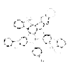 CC(C)(C)c1ccc(Nc2cc3c(cc2-c2c4c(c5c6cc7c(cc6n6c5c2Bc2cc5c(cc2-6)-c2ccccc2C5(C)C)CCCC7)C(C)(C)c2ccccc2-4)-c2ccccc2C3)cc1